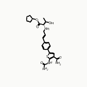 CC(O)[C@H](NC/C=C/c1ccc(-c2cc(C(N)=O)c(NC(N)=O)s2)cc1)C(=O)OC1CCCC1